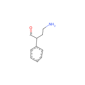 NCCC([C]=O)c1ccccc1